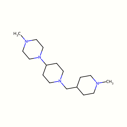 CN1CCC(CN2CCC(N3CCN(C)CC3)CC2)CC1